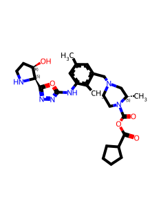 Cc1cc(CN2CCN(C(=O)OC(=O)C3CCCC3)[C@@H](C)C2)c(C)c(Nc2nnc([C@H]3NCC[C@H]3O)o2)c1